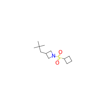 CC(C)(C)CC1CN(S(=O)(=O)C2CCC2)C1